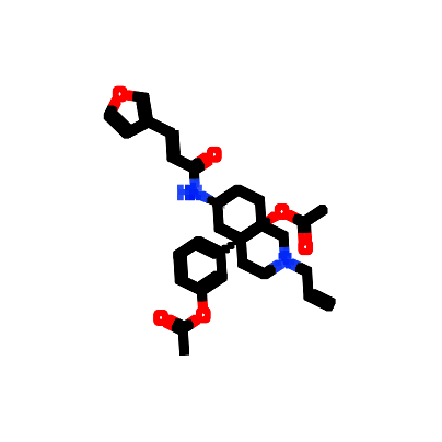 C=CCN1CC[C@@]2(c3cccc(OC(C)=O)c3)C[C@@H](NC(=O)/C=C/c3ccoc3)CC[C@]2(OC(C)=O)C1